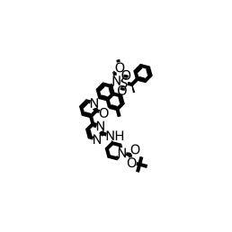 COCN(c1cccc2c(Oc3ncccc3-c3ccnc(N[C@H]4CCCN(C(=O)OC(C)(C)C)C4)n3)c(C)ccc12)S(=O)(=O)[C@H](C)c1ccccc1